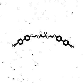 N#Cc1ccc(-c2ccc(OCCOC(=O)CC(=O)OCCOc3ccc(-c4ccc(C#N)cc4)cc3)cc2)cc1